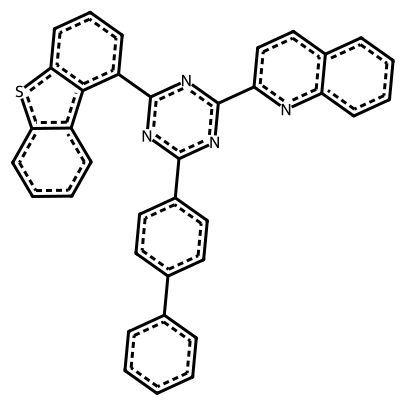 c1ccc(-c2ccc(-c3nc(-c4ccc5ccccc5n4)nc(-c4cccc5sc6ccccc6c45)n3)cc2)cc1